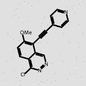 COc1ccc2c(Cl)nncc2c1C#Cc1ccncc1